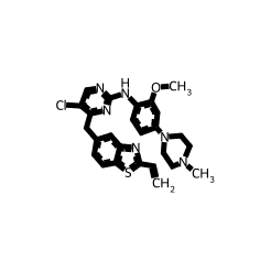 C=Cc1nc2cc(Cc3nc(Nc4ccc(N5CCN(C)CC5)cc4OC)ncc3Cl)ccc2s1